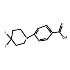 O=C(O)c1ccc(N2CCC(F)(F)CC2)cc1